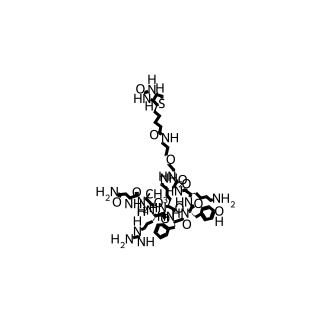 C[C@H](NC(=O)[C@@H](N)CC(N)=O)C(=O)N[C@@H](CCCNC(=N)N)C(=O)N[C@@H](CCCCN)C(=O)N[C@@H](Cc1ccccc1)C(=O)N[C@@H](Cc1ccc(O)cc1)C(=O)N[C@@H](CCCCN)C(=O)NCC(=O)NCCOCCCNC(=O)CCCC[C@@H]1SC[C@@H]2NC(=O)N[C@@H]21